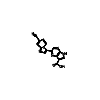 N#Cc1ccn2c(-c3cnc4[nH]cc(C(=O)O)c4n3)cnc2c1